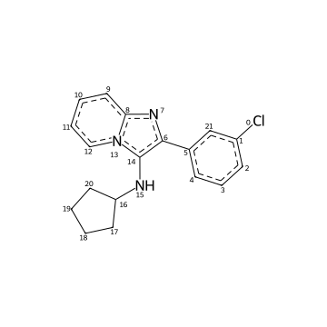 Clc1cccc(-c2nc3ccccn3c2NC2CCCC2)c1